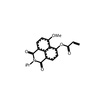 C=CC(=O)Oc1ccc2c3c(ccc(OC)c13)C(=O)N(C(C)C)C2=O